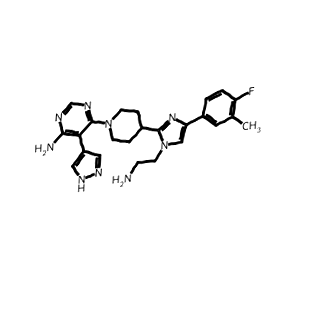 Cc1cc(-c2cn(CCN)c(C3CCN(c4ncnc(N)c4-c4cn[nH]c4)CC3)n2)ccc1F